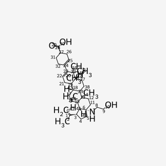 C=C(C)[C@@H]1CC[C@]2(NCCO)CC[C@]3(C)[C@H](CC[C@@H]4[C@@]5(C)CC=C(C6=CC[C@H](C(=O)O)CC6)C(C)(C)[C@@H]5CC[C@]43C)[C@@H]12